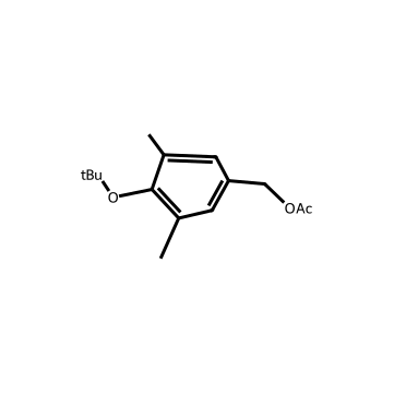 CC(=O)OCc1cc(C)c(OC(C)(C)C)c(C)c1